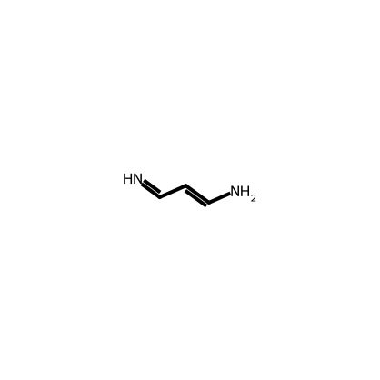 N=CC=CN